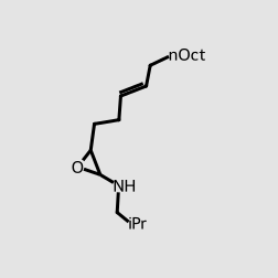 CCCCCCCCC/C=C/CCC1OC1NCC(C)C